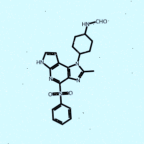 Cc1nc2c(S(=O)(=O)c3ccccc3)nc3[nH]ccc3c2n1C1CCC(NC=O)CC1